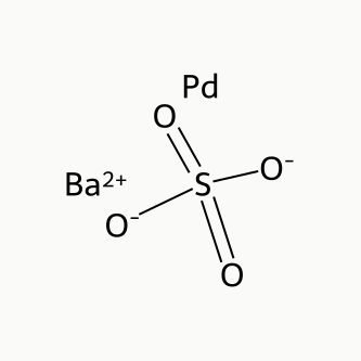 O=S(=O)([O-])[O-].[Ba+2].[Pd]